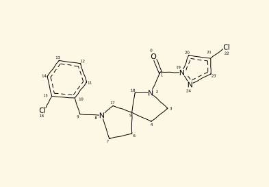 O=C(N1CCC2(CCN(Cc3ccccc3Cl)C2)C1)n1cc(Cl)cn1